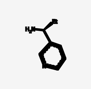 CC[C@H](N)c1cccnc1